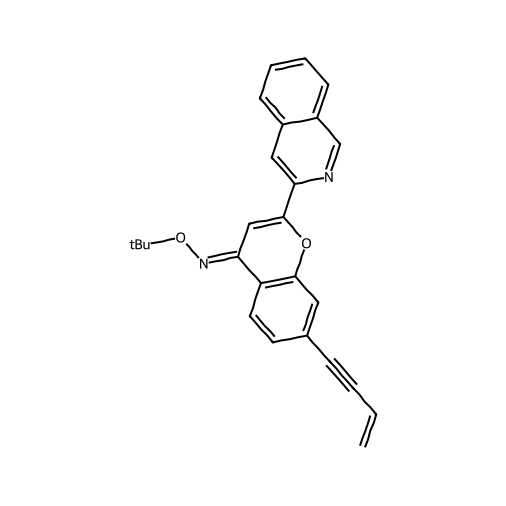 C=CC#Cc1ccc2c(=NOC(C)(C)C)cc(-c3cc4ccccc4cn3)oc2c1